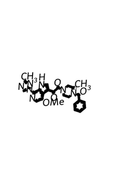 COc1cnc(-n2cnc(C)n2)c2[nH]cc(C(=O)C(=O)N3CCN(C(=O)c4ccccc4)[C@H](C)C3)c12